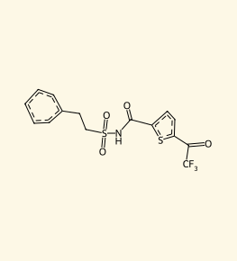 O=C(NS(=O)(=O)CCc1ccccc1)c1ccc(C(=O)C(F)(F)F)s1